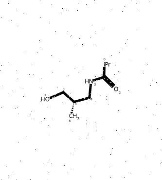 CC(C)C(=O)NC[C@H](C)CO